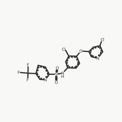 O=S(=O)(Nc1ccc(Oc2cncc(Cl)c2)c(Cl)c1)c1ccc(C(F)(F)F)cn1